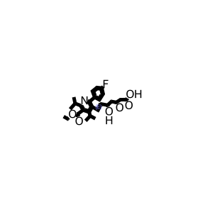 CCOC(=O)c1c(C(C)C)nc(-c2ccc(F)cc2)c(/C=C/C(O)CC(=O)CC(=O)O)c1C(C)C